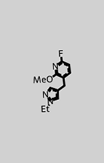 CCn1cc(Cc2ccc(F)nc2OC)cn1